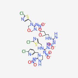 CN/C(=N/[N+](=O)[O-])NCC1CCOC1.CN/C(=N\[N+](=O)[O-])NCc1cnc(Cl)s1.CN1COCN(Cc2cnc(Cl)s2)/C1=N/[N+](=O)[O-].O=[N+]([O-])/N=C1\NCCN1Cc1ccc(Cl)nc1